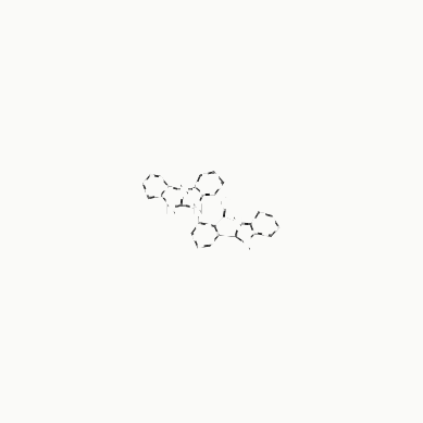 O=C1c2c(cccc2-n2c3ccccc3n3c4ccccc4nc23)-c2nc3ccccc3n21